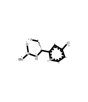 CC(C)(C)[S+]([O-])N[C@H](CF)c1cc(Cl)ccn1